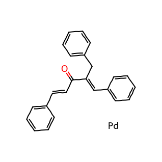 O=C(C=Cc1ccccc1)C(=Cc1ccccc1)Cc1ccccc1.[Pd]